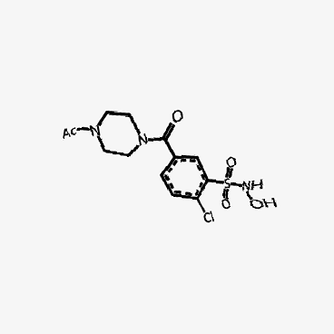 CC(=O)N1CCN(C(=O)c2ccc(Cl)c(S(=O)(=O)NO)c2)CC1